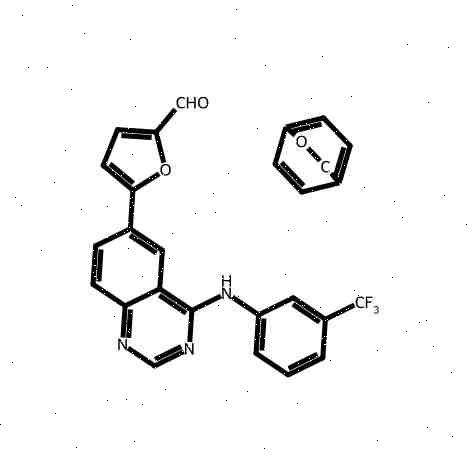 O=Cc1ccc(-c2ccc3ncnc(Nc4cccc(C(F)(F)F)c4)c3c2)o1.c1cc2ccc1CO2